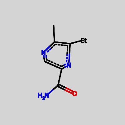 CCc1nc(C(N)=O)cnc1C